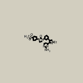 CCn1cc(-c2cccc(N3CCN(c4ccc(S(C)(=O)=O)cc4)C3=O)c2)c(-c2ccnc(N)n2)n1